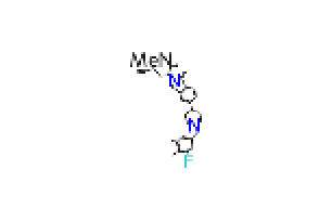 C#CCCC(C(=C)NC)N1Cc2cc(C3CCN(Cc4cc(C)c(C)c(F)c4)CC3)ccc2C1=C